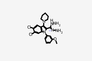 COc1cccc(-n2c(/C(=N/N)NN)c(N3CCCCC3)c3cc(Cl)c(Cl)cc32)c1